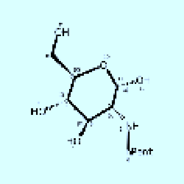 CCCCCN[C@@H]1[C@@H](O)[C@H](O)[C@@H](CO)O[C@@H]1O